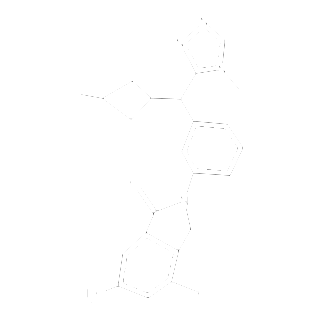 [CH2]c1cc2c(c(C(F)(F)F)c1)CN(c1cccc(C(c3nncn3C)C3CC(C)C3)c1)C2=O